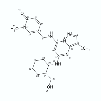 Cc1cnn2c(NCc3ccc(=O)n(C)c3)cc(N[C@H]3CCCC[C@H]3CO)nc12